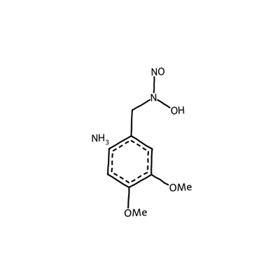 COc1ccc(CN(O)N=O)cc1OC.N